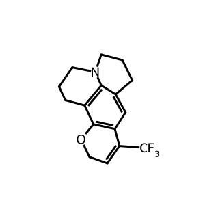 FC(F)(F)C1=CCOc2c1cc1c3c2CCCN3CCC1